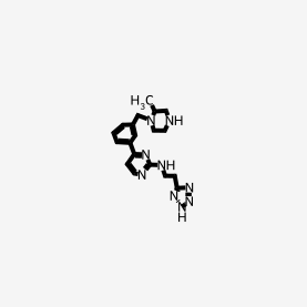 CC1CNCCN1Cc1cccc(-c2ccnc(NCCc3nn[nH]n3)n2)c1